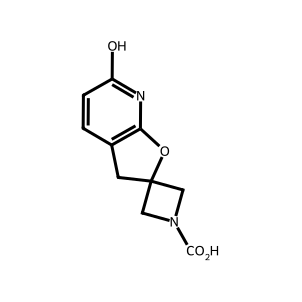 O=C(O)N1CC2(Cc3ccc(O)nc3O2)C1